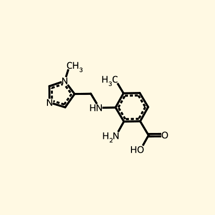 Cc1ccc(C(=O)O)c(N)c1NCc1cncn1C